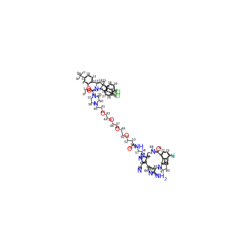 CCOc1cc(C(C)(C)C)ccc1C1=C2C[C@]2(c2ccc(Cl)cc2)[C@@](C)(c2ccc(Cl)cc2)N1C(=O)N1CCN(CCOCCOCCOCCOCCC(=O)NCCn2nc(C#N)c3c2CN(C)C(=O)c2ccc(F)cc2[C@H]2CCCN2c2cc-3cnc2N)CC1